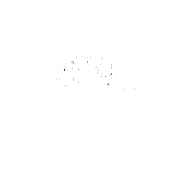 C[C@H]1CCN1c1nc2c(c(-c3cccc(S(=N)(=O)C(F)F)c3)n1)CCC2